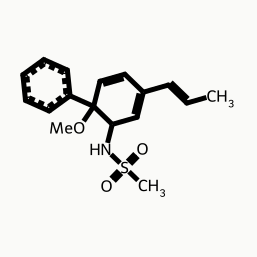 CC=CC1=CC(NS(C)(=O)=O)C(OC)(c2ccccc2)C=C1